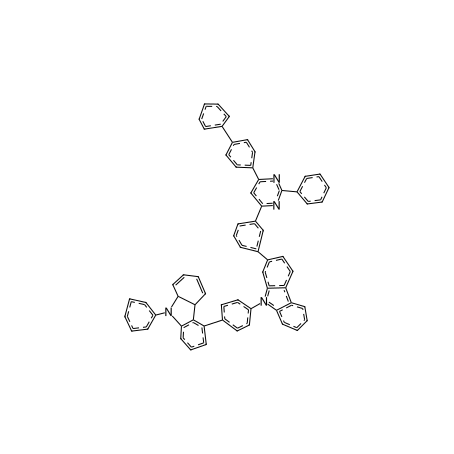 C1=CC2c3c(-c4ccc(-n5c6ccccc6c6ccc(-c7cccc(-c8cc(-c9ccc(-c%10ccccc%10)cc9)nc(-c9ccccc9)n8)c7)cc65)cc4)cccc3N(c3ccccc3)C2C=C1